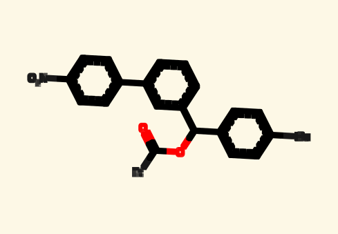 CCC(=O)OC(c1ccc(C(C)(C)C)cc1)c1cccc(-c2ccc([N+](=O)[O-])cc2)c1